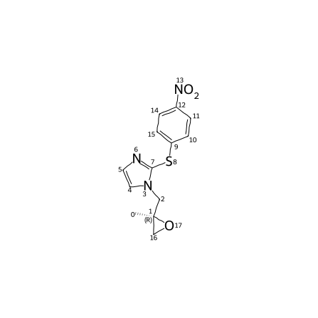 C[C@@]1(Cn2ccnc2Sc2ccc([N+](=O)[O-])cc2)CO1